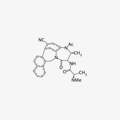 CN[C@H](C)C(=O)NC1C(=O)N2Cc3c(ccc4ccccc34)-c3cc2c(cc3C#N)N(C(C)=O)[C@H]1C